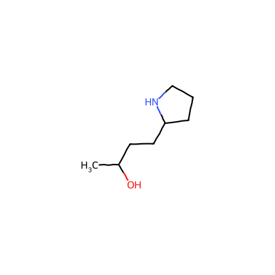 CC(O)CCC1CCCN1